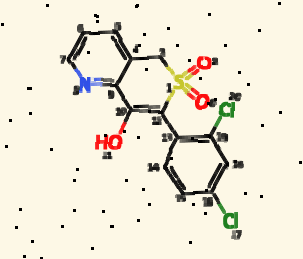 O=S1(=O)Cc2cccnc2C(O)=C1c1ccc(Cl)[c]c1Cl